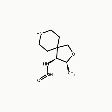 C[C@@H]1OCC2(CCNCC2)[C@@H]1N[SiH]=O